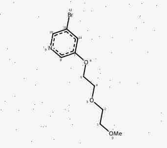 COCCOCCOc1cncc(Br)c1